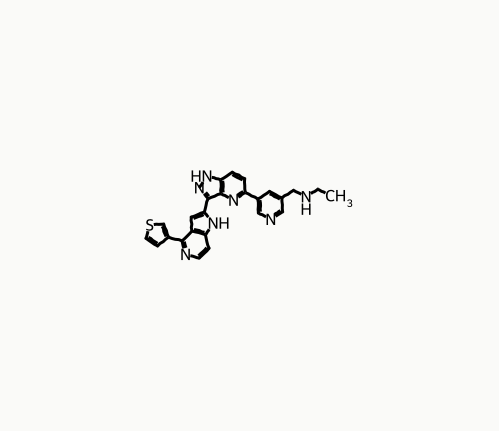 CCNCc1cncc(-c2ccc3[nH]nc(-c4cc5c(-c6ccsc6)nccc5[nH]4)c3n2)c1